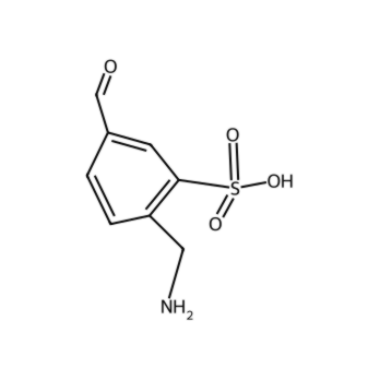 NCc1ccc(C=O)cc1S(=O)(=O)O